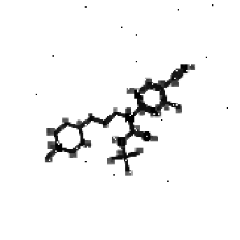 Cc1nc(N(CCCC2CCN(C)CC2)C(=O)OC(C)(C)C)ncc1C#N